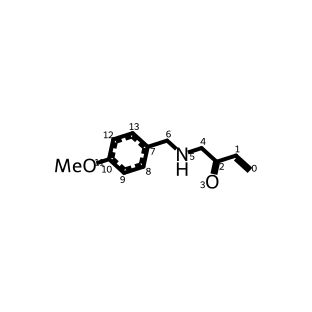 C=CC(=O)CNCc1ccc(OC)cc1